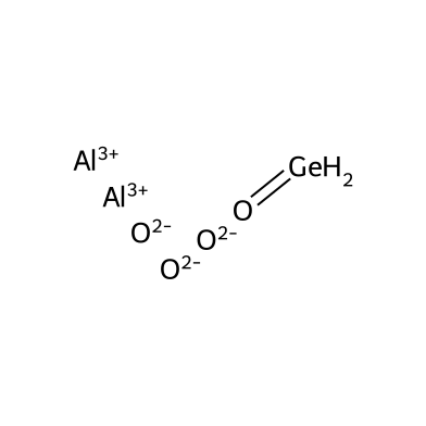 [Al+3].[Al+3].[O-2].[O-2].[O-2].[O]=[GeH2]